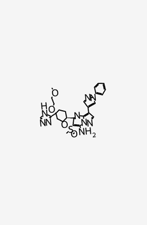 COCCO[C@]1(c2nnc[nH]2)CC[C@H](c2nc3c(-c4cnn(-c5ccccc5)c4)cnn3c(N)c2S(C)(=O)=O)CC1